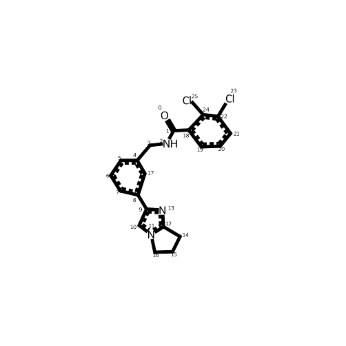 O=C(NCc1cccc(-c2cn3c(n2)CCC3)c1)c1cccc(Cl)c1Cl